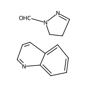 O=CN1CCC=N1.c1ccc2ncccc2c1